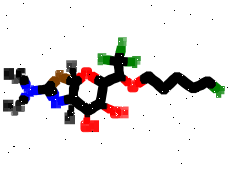 CN(C)C1=N[C@@H]2[C@@H](O)[C@H](O)C([C@H](OCCCCCF)C(F)(F)F)O[C@@H]2S1